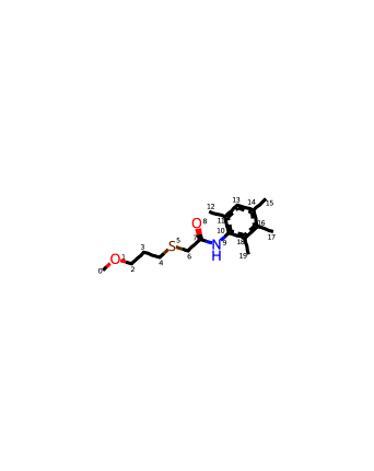 COCCCSCC(=O)Nc1c(C)cc(C)c(C)c1C